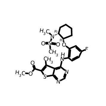 COC(=O)c1sc2ncnc(Nc3ccc(F)cc3O[C@@H]3CCCC[C@H]3N(C)S(C)(=O)=O)c2c1C